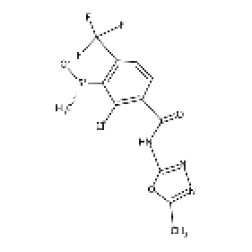 Cc1nnc(NC(=O)c2ccc(C(F)(F)F)c([S@+](C)[O-])c2Cl)o1